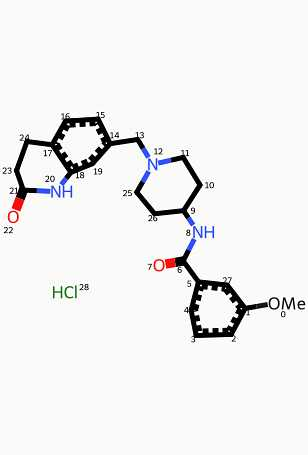 COc1cccc(C(=O)NC2CCN(Cc3ccc4c(c3)NC(=O)CC4)CC2)c1.Cl